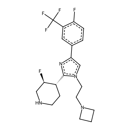 Fc1ccc(-c2cn(CCN3CCC3)c([C@@H]3CCNC[C@H]3F)n2)cc1C(F)(F)F